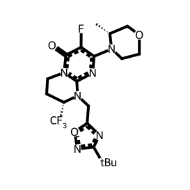 C[C@@H]1COCCN1c1nc2n(c(=O)c1F)CC[C@@H](C(F)(F)F)N2Cc1nc(C(C)(C)C)no1